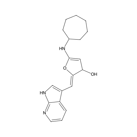 OC1C=C(NC2CCCCCC2)O/C1=C\c1c[nH]c2ncccc12